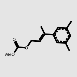 COC(=O)OCC=C(C)c1cc(C)cc(C)c1